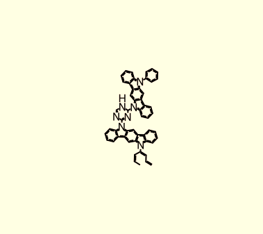 C=C/C=C(\C=C/C)n1c2ccccc2c2cc3c(cc21)c1ccccc1n3C1=NC(n2c3ccccc3c3cc4c(cc32)c2ccccc2n4-c2ccccc2)NC=N1